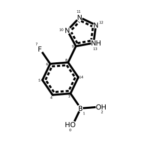 OB(O)c1ccc(F)c(-c2nnn[nH]2)c1